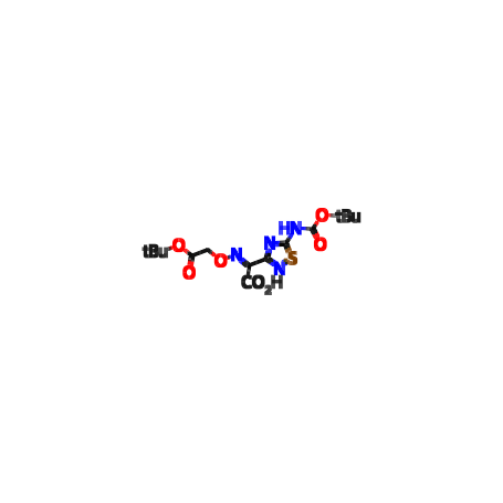 CC(C)(C)OC(=O)CO/N=C(\C(=O)O)c1nsc(NC(=O)OC(C)(C)C)n1